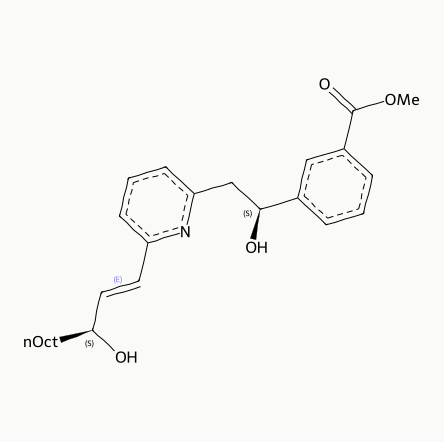 CCCCCCCC[C@H](O)/C=C/c1cccc(C[C@H](O)c2cccc(C(=O)OC)c2)n1